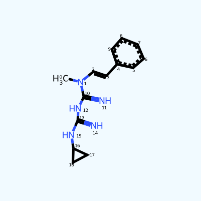 CN(C=Cc1ccccc1)C(=N)NC(=N)NC1CC1